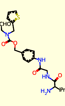 CC(C)C(N)C(=O)NCC(=O)Nc1ccc(COC(=O)N(CC=O)Cc2cccs2)cc1